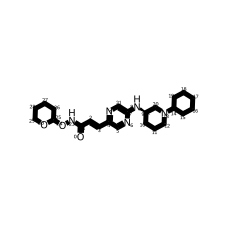 O=C(C=Cc1cnc(N[C@@H]2CCCN(C3CCCCC3)C2)cn1)NOC1CCCCO1